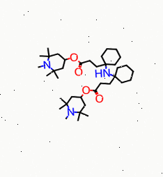 CN1C(C)(C)CC(OC(=O)CCC2(NC3(CCC(=O)OC4CC(C)(C)N(C)C(C)(C)C4)CCCCC3)CCCCC2)CC1(C)C